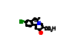 C[C@@H]1Cc2cc(Br)ccc2-c2cc(=O)c(C(=O)O)cn21